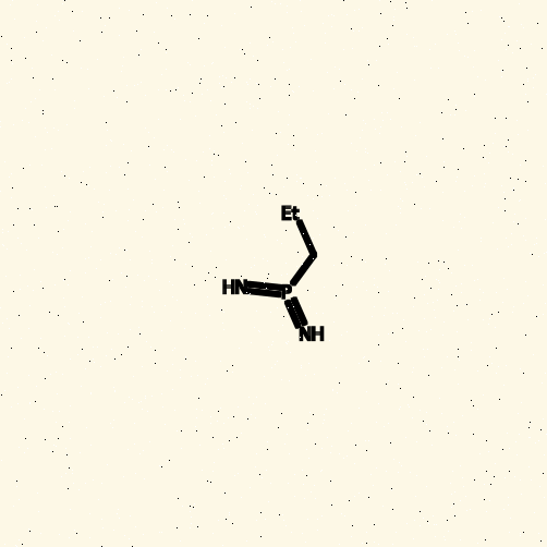 CCCP(=N)=N